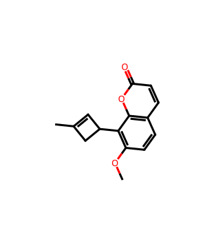 COc1ccc2ccc(=O)oc2c1C1C=C(C)C1